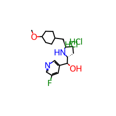 COC1CCC(C[C@H]2CC[C@H]([C@@H](O)c3cncc(F)c3)N2)CC1.Cl.Cl